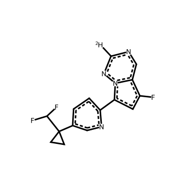 [2H]c1ncc2c(F)cc(-c3ccc(C4(C(F)F)CC4)cn3)n2n1